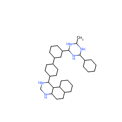 CC1NC(C2CCCCC2)NC(C2CCCC(C3CCC(C4NCNC5CCC6CCCCC6C54)CC3)C2)N1